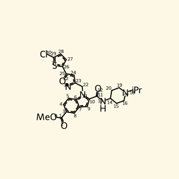 COC(=O)c1ccc2c(c1)cc(C(=O)NC1CCN(C(C)C)CC1)n2Cc1cc(-c2ccc(Cl)s2)on1